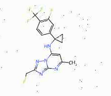 Cc1cc(NC2(c3ccc(C(F)(F)F)c(F)c3)CC2)n2nc(CF)nc2n1